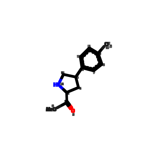 COC(=O)C1CC(c2ccc(C(F)(F)F)cc2)CN1